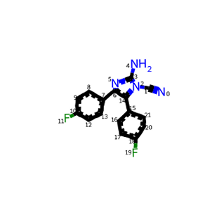 N#Cn1c(N)nc(-c2ccc(F)cc2)c1-c1ccc(F)cc1